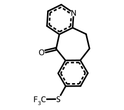 O=C1c2cc(SC(F)(F)F)ccc2CCc2ncccc21